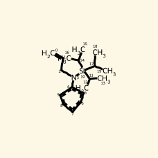 C=CCN(c1ccccc1)[Si](C(C)C)(C(C)C)C(C)C